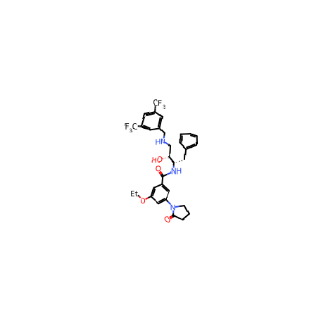 CCOc1cc(C(=O)N[C@@H](Cc2ccccc2)[C@H](O)CNCc2cc(C(F)(F)F)cc(C(F)(F)F)c2)cc(N2CCCC2=O)c1